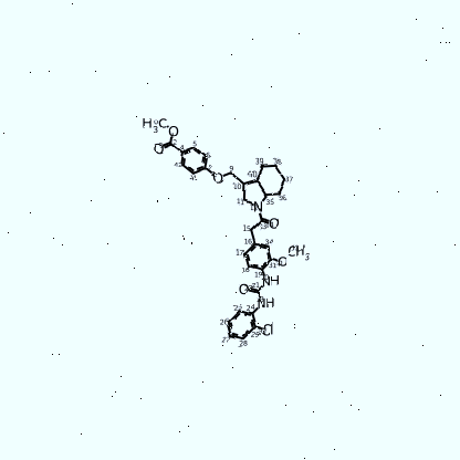 COC(=O)c1ccc(OCC2CN(C(=O)Cc3ccc(NC(=O)Nc4ccccc4Cl)c(OC)c3)C3CCCCC23)cc1